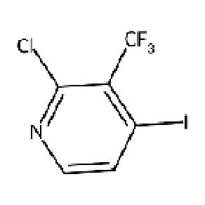 FC(F)(F)c1c(I)ccnc1Cl